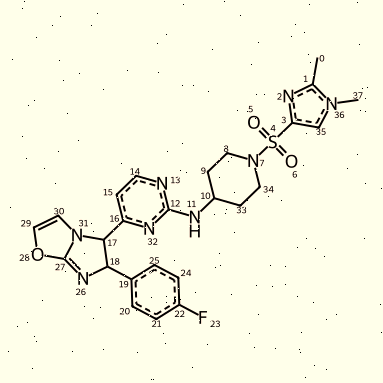 Cc1nc(S(=O)(=O)N2CCC(Nc3nccc(C4C(c5ccc(F)cc5)N=C5OC=CN54)n3)CC2)cn1C